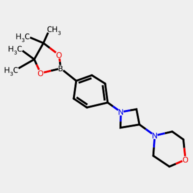 CC1(C)OB(c2ccc(N3CC(N4CCOCC4)C3)cc2)OC1(C)C